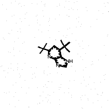 CC(C)(C)c1cc(C(C)(C)C)c2[nH]cnc2n1